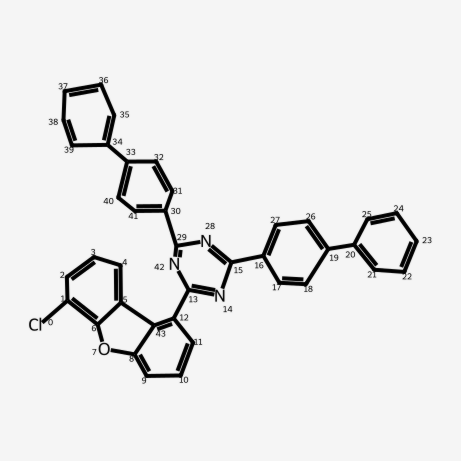 Clc1cccc2c1oc1cccc(-c3nc(-c4ccc(-c5ccccc5)cc4)nc(-c4ccc(-c5ccccc5)cc4)n3)c12